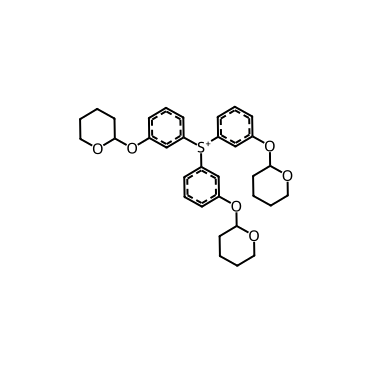 c1cc(OC2CCCCO2)cc([S+](c2cccc(OC3CCCCO3)c2)c2cccc(OC3CCCCO3)c2)c1